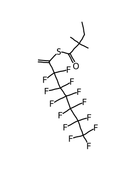 C=C(SC(=O)C(C)(C)CC)C(F)(F)C(F)(F)C(F)(F)C(F)(F)C(F)(F)C(F)(F)F